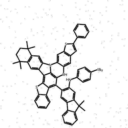 CC(C)(C)c1ccc(Nc2cc3c(cc2-c2c4c5c(c6cc7c(cc6n5-c5cc6sc(-c8ccccc8)cc6cc5B4)C(C)(C)CCC7(C)C)c4sc5ccccc5c24)-c2ccccc2C3(C)C)cc1